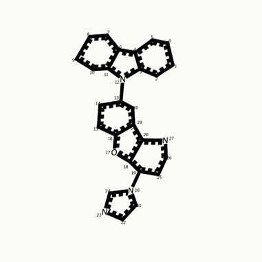 c1ccc2c(c1)c1ccccc1n2-c1ccc2oc3c(-n4ccnc4)ccnc3c2c1